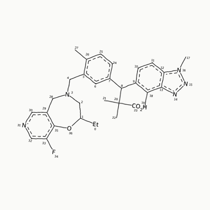 CCC1CN(Cc2cc(C(c3ccc4c(nnn4C)c3C)C(C)(C)C(=O)O)ccc2C)Cc2cncc(F)c2O1